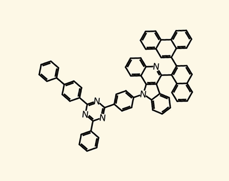 c1ccc(-c2ccc(-c3nc(-c4ccccc4)nc(-c4ccc(-n5c6ccccc6c6c(-c7c(-c8cc9ccccc9c9ccccc89)ccc8ccccc78)nc7ccccc7c65)cc4)n3)cc2)cc1